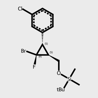 CC(C)(C)[Si](C)(C)OC[C@@H]1[C@@H](c2cccc(Cl)c2)[C@@]1(F)Br